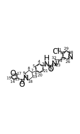 O=C(Nc1ccc(C2CCN(C(=O)c3ccoc3)CC2)cc1)N1CC(c2cnccc2Cl)C1